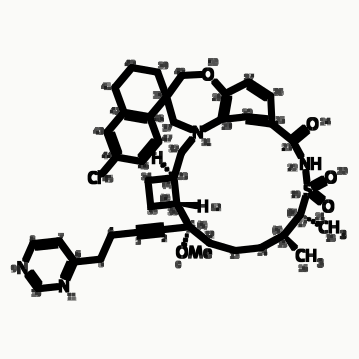 CO[C@@]1(C#CCCc2ccncn2)CCC[C@H](C)[C@@H](C)S(=O)(=O)NC(=O)c2ccc3c(c2)N(C[C@@H]2CC[C@H]21)CC1(CCCc2cc(Cl)ccc21)CO3